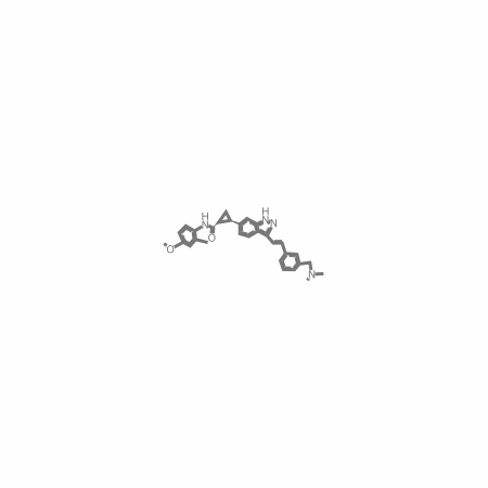 COc1ccc(NC(=O)[C@@H]2C[C@H]2c2ccc3c(/C=C/c4cccc(CN(C)C)c4)n[nH]c3c2)c(C)c1